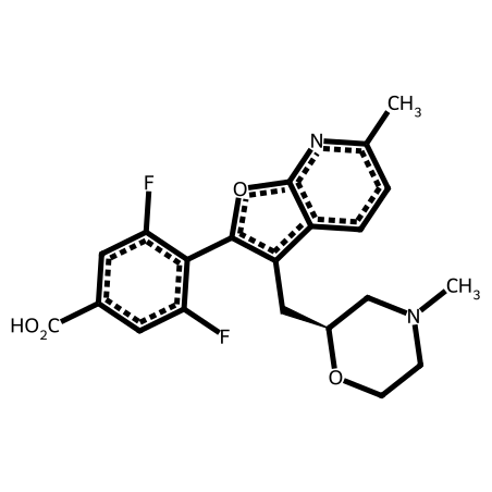 Cc1ccc2c(C[C@H]3CN(C)CCO3)c(-c3c(F)cc(C(=O)O)cc3F)oc2n1